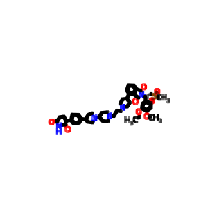 CCOc1cc([C@@H](CS(C)(=O)=O)N2C(=O)c3cccc(C4CCN(CCCN5CCC(N6CCC(c7ccc(C8CCC(=O)NC8=O)cc7)CC6)CC5)CC4)c3C2=O)ccc1OC